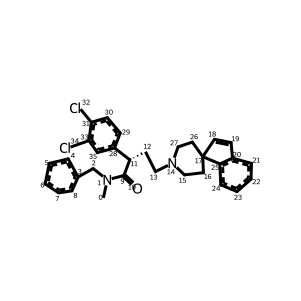 CN(Cc1ccccc1)C(=O)[C@@H](CCN1CCC2(C=Cc3ccccc32)CC1)c1ccc(Cl)c(Cl)c1